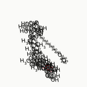 CC1O[C@@H](OC(=O)C2(CCC(C)(C)C)C(I)C3=CCC4C5(C)CC[C@H](O[C@@H]6OC(C(=O)CCCCCCCCCCCCOCc7ccccc7)[C@@H](O)C(OC7OC8OC8C(O)C7O)C6OC6OC(CO)C(O)C(O)C6O)C(C)(C=O)[C@@H]5CCC4(C)[C@]3(C)C[C@@H]2O)C(OC2OC(C)[C@H](O[C@@H]3OC[C@@H](O)C(O)C3O)C(OC3=C(O)C(O[C@@H]4OC[C@@H](O)C(O)C4O)[C@H](O)C(CO)O3)[C@@H]2O)C(O)[C@H]1O